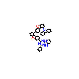 C1=CCCC(C2NC(c3ccc4c(c3)oc3cccc(-c5ccc6c(c5)oc5cccc(-n7c8ccccc8c8ccccc87)c56)c34)=NC(c3ccccc3)N2)=C1